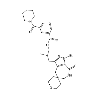 CCn1nc(CC(C)COC(=O)c2cccc(C(=O)N3CCCCC3)c2)c2c1C(=O)NCC1(CCOCC1)C2